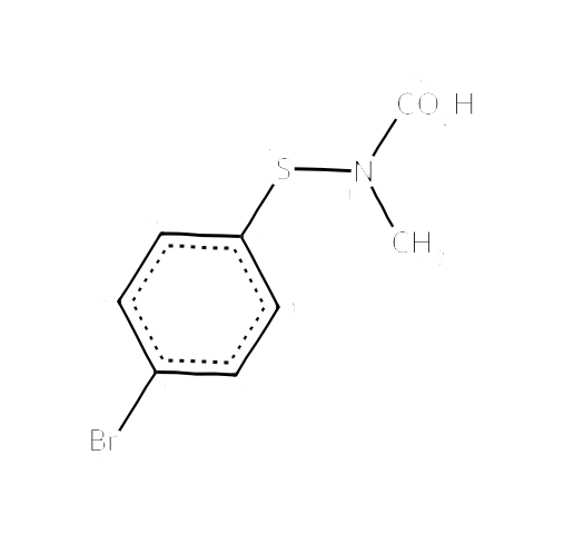 CN(Sc1ccc(Br)cc1)C(=O)O